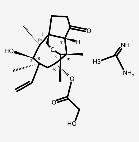 C=C[C@]1(C)C[C@@H](OC(=O)CO)[C@]2(C)[C@H](C)CC[C@]3(CCC(=O)[C@@H]32)[C@@H](C)[C@@H]1O.N=C(N)S